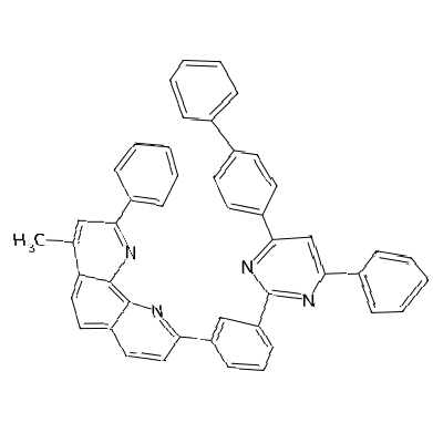 Cc1cc(-c2ccccc2)nc2c1ccc1ccc(-c3cccc(-c4nc(-c5ccccc5)cc(-c5ccc(-c6ccccc6)cc5)n4)c3)nc12